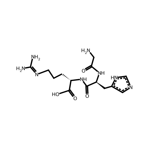 NCC(=O)N[C@@H](Cc1cnc[nH]1)C(=O)N[C@@H](CCCN=C(N)N)C(=O)O